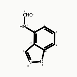 O=[C]Nc1cccc2oncc12